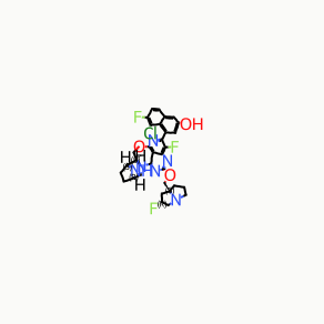 Oc1cc(-c2nc3c4c(nc(OC[C@@]56CCCN5C[C@H](F)C6)nc4c2F)N2C[C@H]4CC[C@H](N4)[C@H]2CO3)c2c(Cl)c(F)ccc2c1